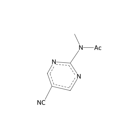 CC(=O)N(C)c1ncc(C#N)cn1